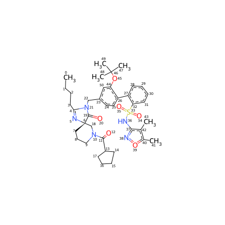 CCCCC1=N[C@]2(CCCN(C(=O)C3CCCC3)C2)C(=O)N1Cc1ccc(-c2ccccc2S(=O)(=O)Nc2noc(C)c2C)c(OC(C)(C)C)c1